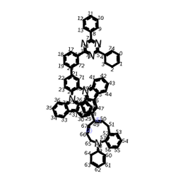 C1=CCCC(c2nc(-c3ccccc3)nc(-c3cccc(-c4ccc(-n5c6ccccc6c6ccccc65)c(-n5c6ccccc6c6cc(C7=C/Cc8ccccc8N(C8C=CC=CC8)C/C=C\7)ccc65)c4)c3)n2)=C1